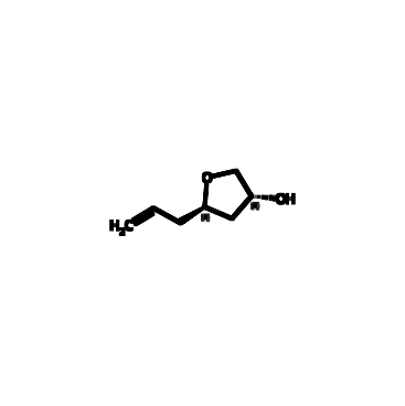 C=CC[C@@H]1C[C@@H](O)CO1